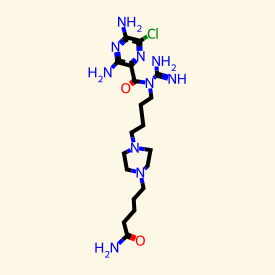 N=C(N)N(CCCCN1CCN(CCCCC(N)=O)CC1)C(=O)c1nc(Cl)c(N)nc1N